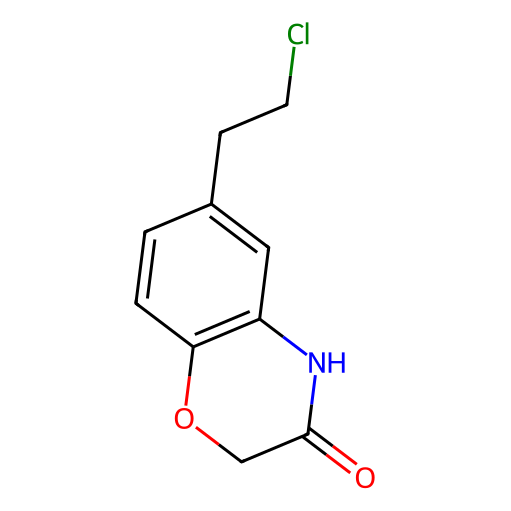 O=C1COc2ccc(CCCl)cc2N1